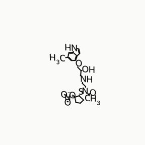 CC(=O)N(CCNCC(O)COc1cc(C)cc2[nH]ccc12)SC1CCCC1O[N+](=O)[O-]